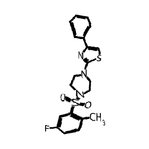 Cc1ccc(F)cc1S(=O)(=O)N1CCN(c2nc(-c3ccccc3)cs2)CC1